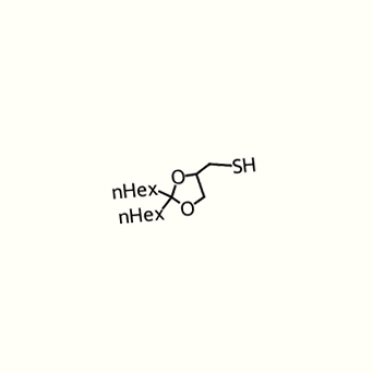 CCCCCCC1(CCCCCC)OCC(CS)O1